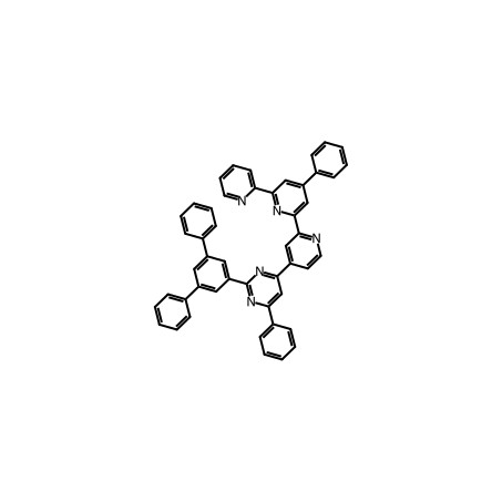 c1ccc(-c2cc(-c3ccccc3)cc(-c3nc(-c4ccccc4)cc(-c4ccnc(-c5cc(-c6ccccc6)cc(-c6ccccn6)n5)c4)n3)c2)cc1